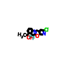 CC(O)c1cccc2c1C(F)(F)C(=O)N2Cc1ccnc(Cl)c1